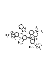 Cc1cc2c3c(c1)N(c1ccc(C(C)(C)C)cc1C)c1c(sc4ccccc14)B3c1ccc3c(c1N2c1ccc(C(C)(C)C)cc1)C(C)(C)CCC3(C)C